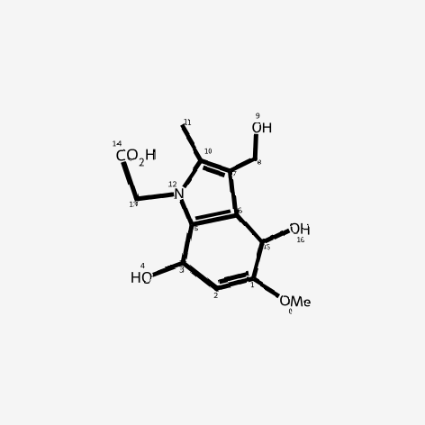 COC1=CC(O)c2c(c(CO)c(C)n2CC(=O)O)C1O